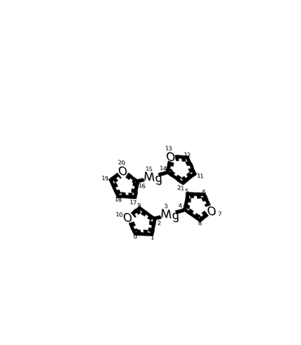 c1c[c]([Mg][c]2ccoc2)co1.c1co[c]([Mg][c]2ccco2)c1